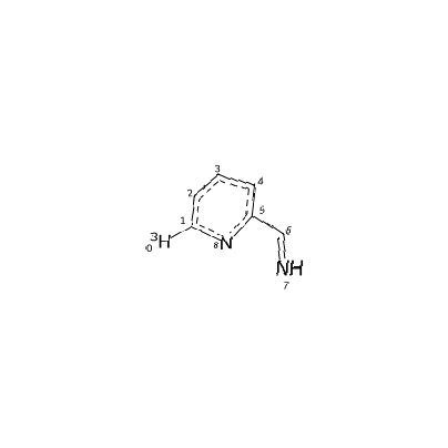 [3H]c1cccc(C=N)n1